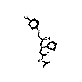 CC(C)NC(=O)CN(CC(O)COc1ccc(Cl)cc1)c1ccccc1